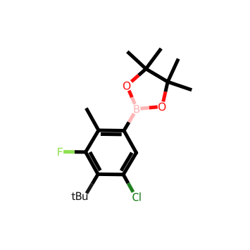 Cc1c(B2OC(C)(C)C(C)(C)O2)cc(Cl)c(C(C)(C)C)c1F